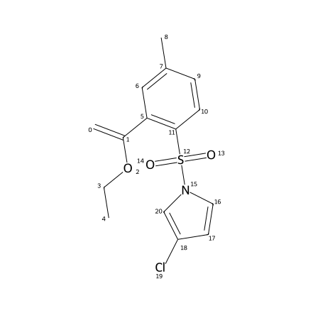 C=C(OCC)c1cc(C)ccc1S(=O)(=O)n1ccc(Cl)c1